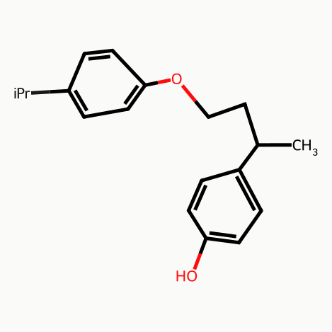 CC(C)c1ccc(OCCC(C)c2ccc(O)cc2)cc1